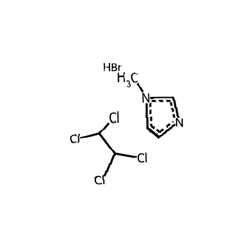 Br.ClC(Cl)C(Cl)Cl.Cn1ccnc1